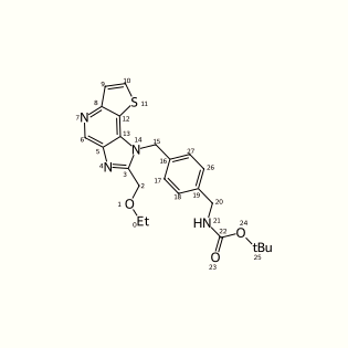 CCOCc1nc2cnc3ccsc3c2n1Cc1ccc(CNC(=O)OC(C)(C)C)cc1